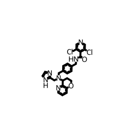 O=C(NCc1ccc(CN(Cc2ncc[nH]2)C2CCOc3cccnc32)cc1)c1c(Cl)cncc1Cl